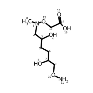 CN(CC(O)CCC(O)CON)OCC(=O)O